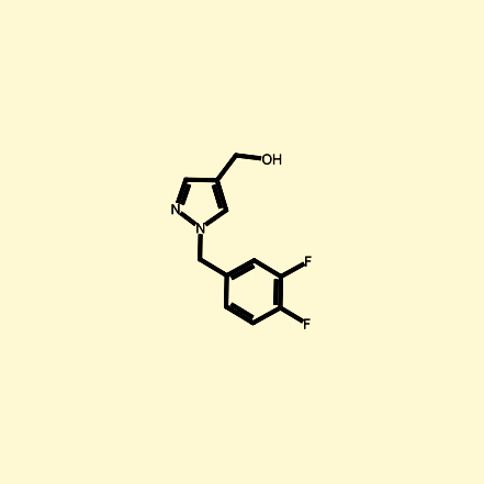 OCc1cnn(Cc2ccc(F)c(F)c2)c1